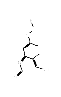 CCNO/C(C)=C/C(=N/C=N)C(/C)=C/N